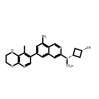 Cc1c(-c2cc(N)c3cnc(N(C(=O)O)[C@H]4C[C@@H](C#N)C4)cc3c2)cnc2c1NCCO2